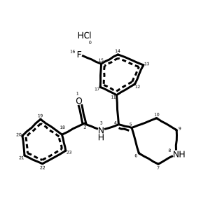 Cl.O=C(NC(=C1CCNCC1)c1cccc(F)c1)c1ccccc1